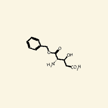 N[C@H](C(=O)OCc1ccccc1)C(O)CC(=O)O